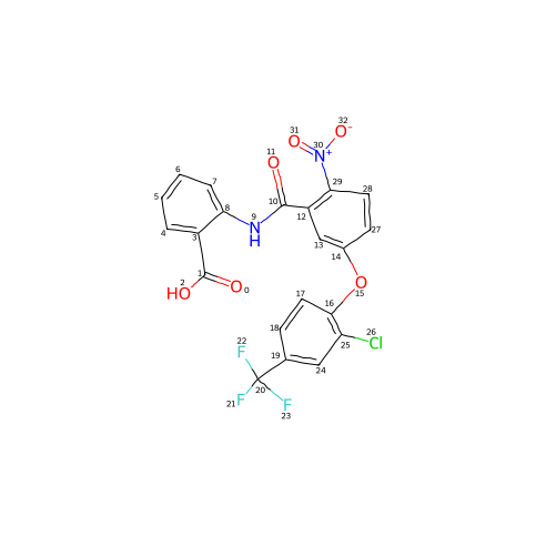 O=C(O)c1ccccc1NC(=O)c1cc(Oc2ccc(C(F)(F)F)cc2Cl)ccc1[N+](=O)[O-]